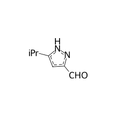 CC(C)c1cc(C=O)n[nH]1